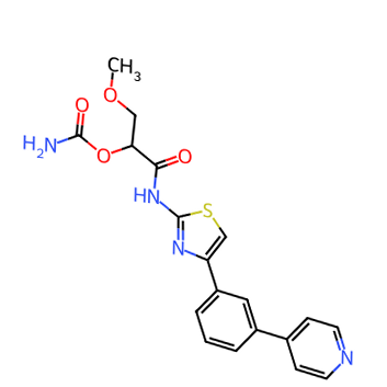 COCC(OC(N)=O)C(=O)Nc1nc(-c2cccc(-c3ccncc3)c2)cs1